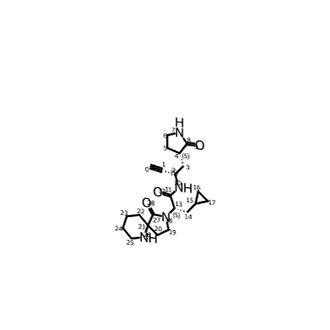 C#C[C@H](C[C@@H]1CCNC1=O)NC(=O)[C@H](CC1CC1)N1CCC2(CCCCN2)C1=O